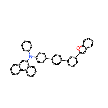 c1ccc(N(c2ccc(-c3ccc(-c4cccc(-c5cc6ccccc6o5)c4)cc3)cc2)c2cc3ccccc3c3ccccc23)cc1